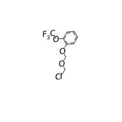 FC(F)(F)Oc1ccccc1OCOCCl